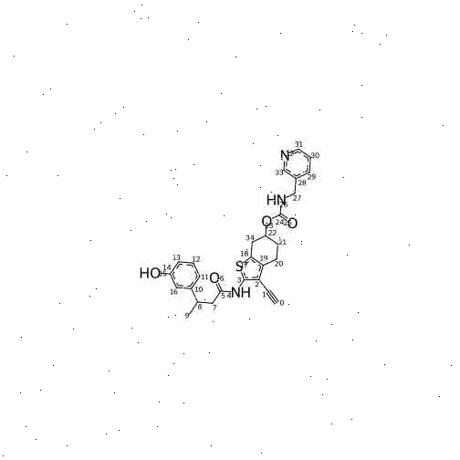 C#Cc1c(NC(=O)CC(C)c2cccc(O)c2)sc2c1CCC(OC(=O)NCc1cccnc1)C2